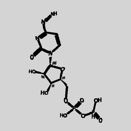 N=Nc1ccn([C@@H]2O[C@H](COP(=O)(O)O[PH](=O)O)[C@@H](O)[C@H]2O)c(=O)n1